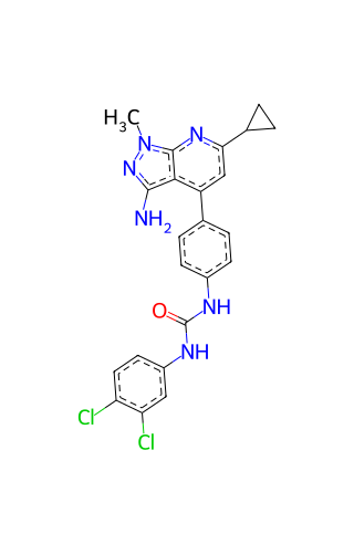 Cn1nc(N)c2c(-c3ccc(NC(=O)Nc4ccc(Cl)c(Cl)c4)cc3)cc(C3CC3)nc21